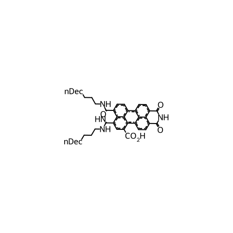 CCCCCCCCCCCCCNC(=N)c1cc(C(=O)O)c2c3ccc4c5c(ccc(c6ccc(C(=O)NCCCCCCCCCCCCC)c1c62)c53)C(=O)NC4=O